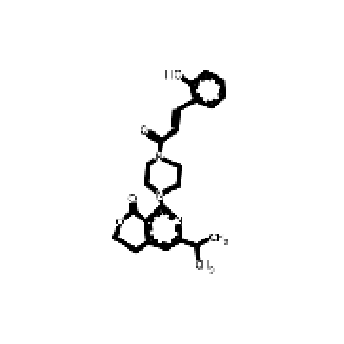 CC(C)c1cc2c(c(N3CCN(C(=O)C=Cc4ccccc4O)CC3)n1)C(=O)OCC2